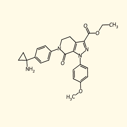 CCOC(=O)c1nn(-c2ccc(OC)cc2)c2c1CCN(c1ccc(C3(N)CC3)cc1)C2=O